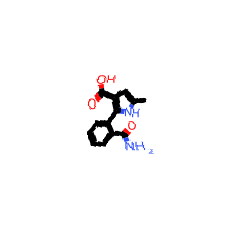 Cc1cc(C(=O)O)c(-c2ccccc2C(N)=O)[nH]1